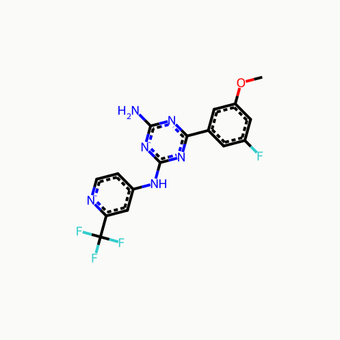 COc1cc(F)cc(-c2nc(N)nc(Nc3ccnc(C(F)(F)F)c3)n2)c1